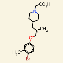 Cc1cc(OC[C@H](C)CC2CCN(CC(=O)O)CC2)ccc1Br